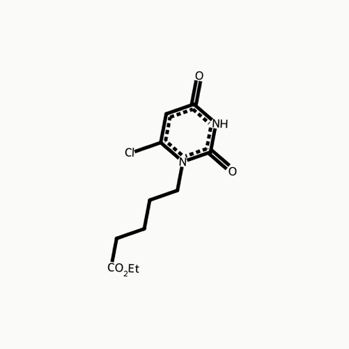 CCOC(=O)CCCCn1c(Cl)cc(=O)[nH]c1=O